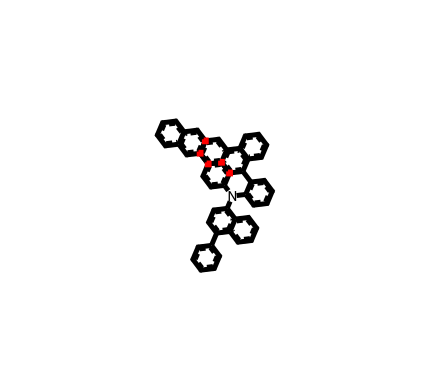 c1ccc(-c2ccc(N(c3ccc(-c4ccc5ccccc5c4)cc3)c3ccccc3-c3cc4ccccc4c4ccccc34)c3ccccc23)cc1